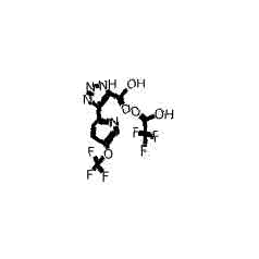 O=C(O)C(F)(F)F.O=C(O)c1[nH]nnc1-c1ccc(OC(F)(F)F)cn1